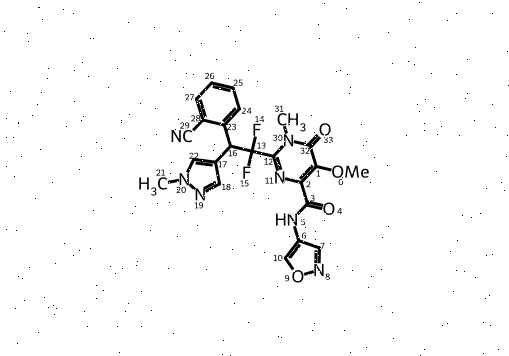 COc1c(C(=O)Nc2cnoc2)nc(C(F)(F)C(c2cnn(C)c2)c2ccccc2C#N)n(C)c1=O